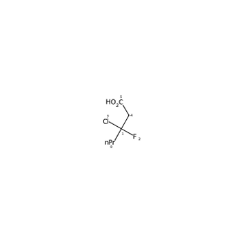 CCCC(F)(Cl)CC(=O)O